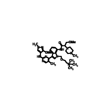 COCC(C(=O)Nc1cccc2c(-c3nc(Nc4cn(C)nc4OC)ncc3C)cn(COCC[Si](C)(C)C)c12)N1CCN(C)CC1